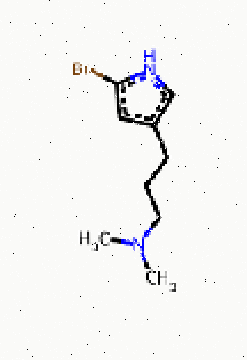 CN(C)CCCc1c[nH]c(Br)c1